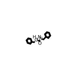 NN(Cc1ccccc1)C(=O)OCc1ccccc1